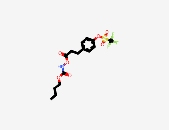 CCCCOC(=O)NOC(=O)CCc1ccc(OS(=O)(=O)C(F)(F)F)cc1